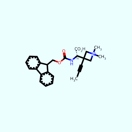 CC#CC1([C@H](NC(=O)OCC2c3ccccc3-c3ccccc32)C(=O)O)C[N+](C)(C)C1